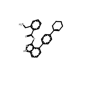 NCc1ccccc1C(=O)Oc1n[nH]c2cccc(-c3ccc(C4=CCCCC4)cc3)c12